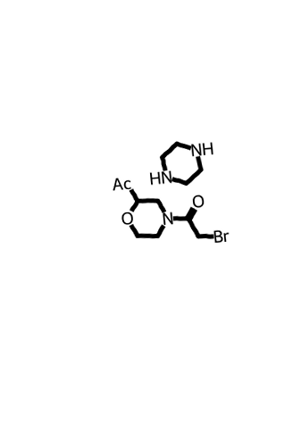 C1CNCCN1.CC(=O)C1CN(C(=O)CBr)CCO1